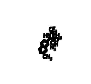 Cc1ccc2ccc(C(NC(=O)C(F)(F)F)C(C)(C)O)cc2c1